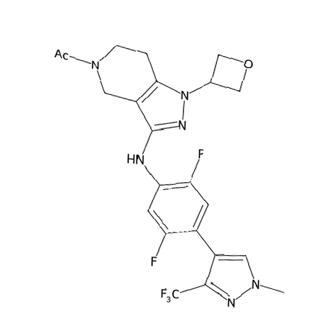 CC(=O)N1CCc2c(c(Nc3cc(F)c(-c4cn(C)nc4C(F)(F)F)cc3F)nn2C2COC2)C1